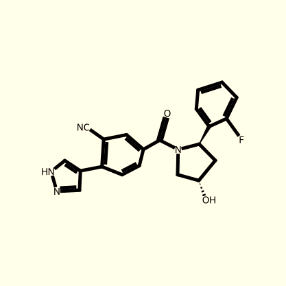 N#Cc1cc(C(=O)N2C[C@@H](O)C[C@@H]2c2ccccc2F)ccc1-c1cn[nH]c1